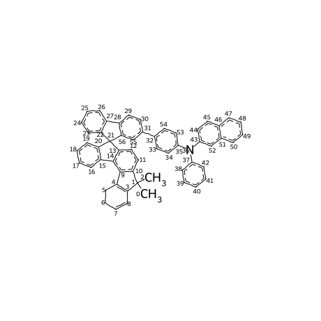 CC1(C)C2=C(CCC=C2)c2c1ccc1c2-c2ccccc2C12c1ccccc1-c1ccc(-c3ccc(N(c4ccccc4)c4ccc5ccccc5c4)cc3)cc12